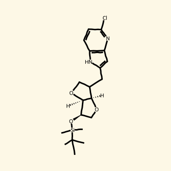 CC(C)(C)[Si](C)(C)O[C@@H]1CO[C@@H]2C(Cc3cc4nc(Cl)ccc4[nH]3)CO[C@@H]21